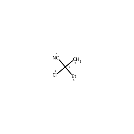 CCC(C)(Cl)C#N